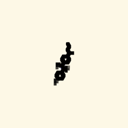 CCCC(C)c1ccc(/C(F)=C(\F)c2ccc(F)cc2)cc1